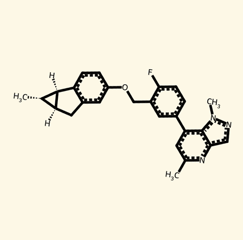 Cc1cc(-c2ccc(F)c(COc3ccc4c(c3)C[C@H]3[C@H](C)[C@@H]43)c2)c2c(cnn2C)n1